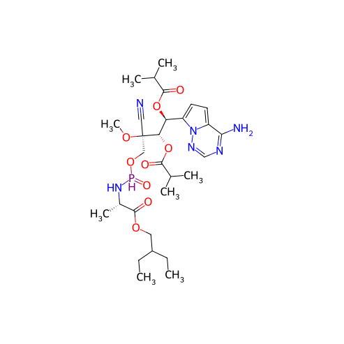 CCC(CC)COC(=O)[C@H](C)N[PH](=O)OC[C@@](C#N)(OC)[C@@H](OC(=O)C(C)C)[C@@H](OC(=O)C(C)C)c1ccc2c(N)ncnn12